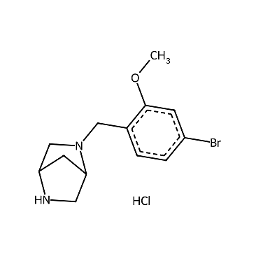 COc1cc(Br)ccc1CN1CC2CC1CN2.Cl